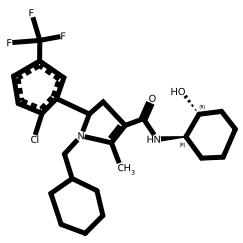 CC1=C(C(=O)N[C@@H]2CCCC[C@H]2O)CC(c2cc(C(F)(F)F)ccc2Cl)N1CC1CCCCC1